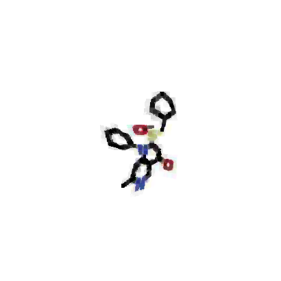 Cc1cc2c(cn1)c(=O)cc([S+]([O-])CC1CCCCC1)n2-c1ccccc1